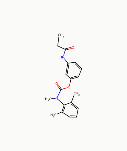 CCC(=O)Nc1cccc(OC(=O)N(C)c2c(C)cccc2C)c1